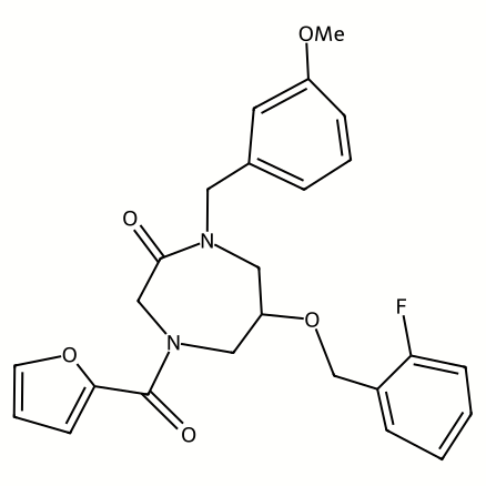 COc1cccc(CN2CC(OCc3ccccc3F)CN(C(=O)c3ccco3)CC2=O)c1